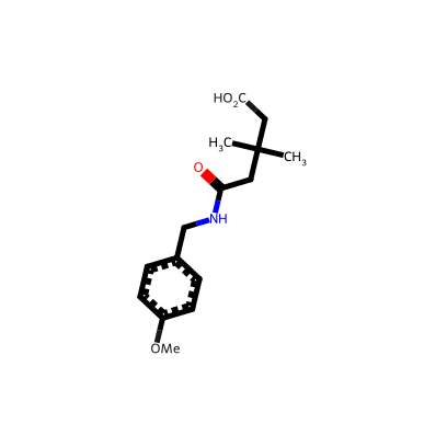 COc1ccc(CNC(=O)CC(C)(C)CC(=O)O)cc1